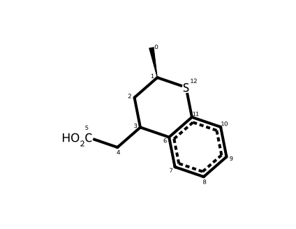 C[C@@H]1CC(CC(=O)O)c2ccccc2S1